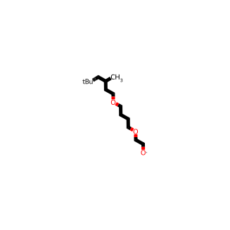 CC(CCOCCCCOCC[O])CC(C)(C)C